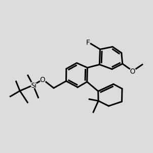 COc1ccc(F)c(-c2ccc(CO[Si](C)(C)C(C)(C)C)cc2C2=CCCCC2(C)C)c1